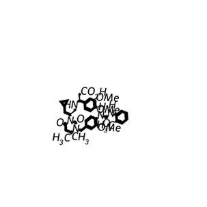 COc1cc(CN2C(=O)N([C@H](CN[C@@H](CC(=O)O)c3ccc(OC)c(OC)c3)CC3CC3)C(=O)CC2(C)C)ccc1NC(=O)Nc1ccccc1C